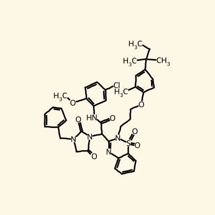 CCC(C)(C)c1ccc(OCCCN2C(C(C(=O)Nc3cc(Cl)ccc3OC)N3C(=O)CN(Cc4ccccc4)C3=O)=Nc3ccccc3S2(=O)=O)c(C)c1